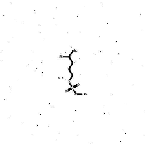 CCCCC(CC)CCCOS(=O)(=O)OCCC.[NaH]